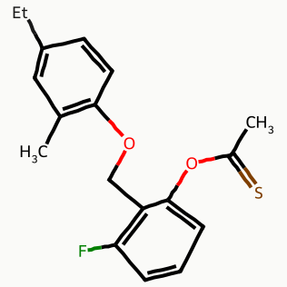 CCc1ccc(OCc2c(F)cccc2OC(C)=S)c(C)c1